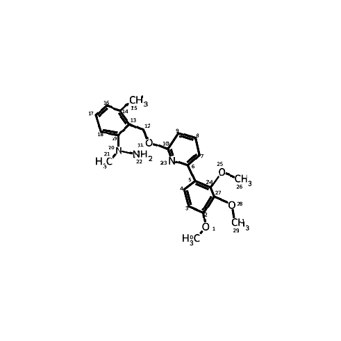 COc1ccc(-c2cccc(OCc3c(C)cccc3N(C)N)n2)c(OC)c1OC